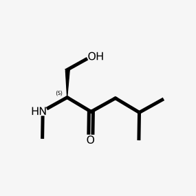 CN[C@@H](CO)C(=O)CC(C)C